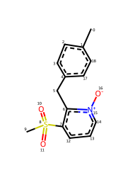 Cc1ccc(Cc2c(S(C)(=O)=O)ccc[n+]2[O-])cc1